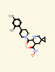 Cc1cc([N+](=O)[O-])ccc1C1=CCN(C(=O)C2NCC3(CC3)CC2C(=O)NO)CC1